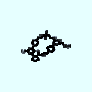 N#Cc1ccc(CCNC(=O)[C@@H]2CCCN2c2cc(N3CCC(CCNS(=O)(=O)CCNC(=O)NCCC(=O)O)CC3)nc(C(F)(F)F)n2)cc1